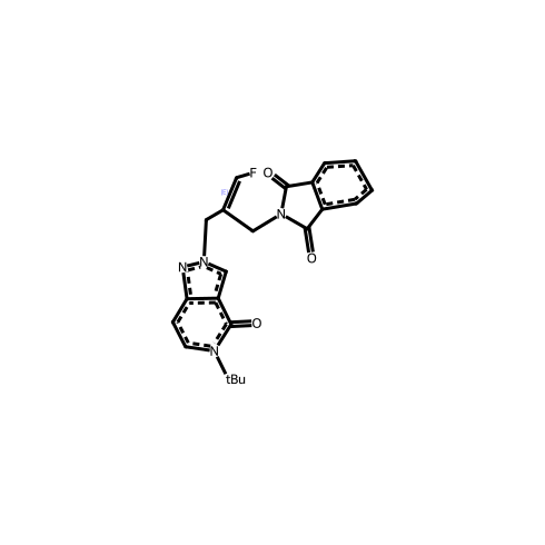 CC(C)(C)n1ccc2nn(C/C(=C/F)CN3C(=O)c4ccccc4C3=O)cc2c1=O